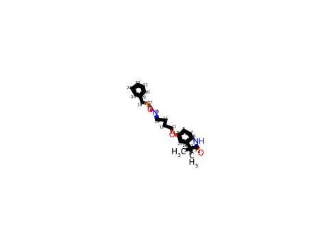 CC1(C)C(=O)Nc2ccc(OCCCC=NOSCc3ccccc3)cc21